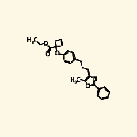 CCOC(=O)C1(Oc2ccc(CCCc3nc(-c4ccccc4)oc3C)cc2)CCC1